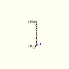 CCCCCCCCCCCCCCCCCCCNC(=O)O